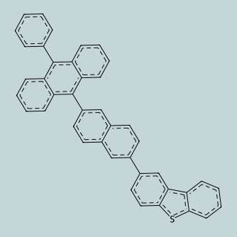 c1ccc(-c2c3ccccc3c(-c3ccc4cc(-c5ccc6sc7ccccc7c6c5)ccc4c3)c3ccccc23)cc1